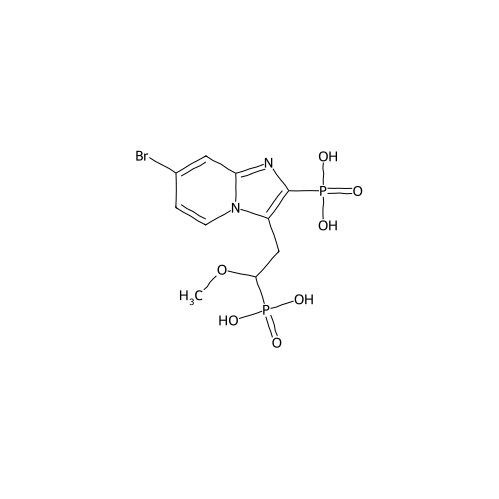 COC(Cc1c(P(=O)(O)O)nc2cc(Br)ccn12)P(=O)(O)O